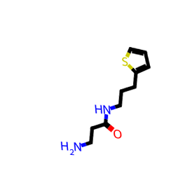 NCCC(=O)NCCCc1cccs1